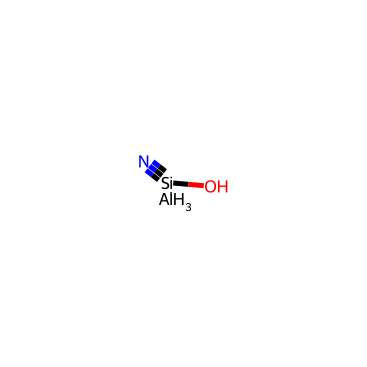 N#[Si]O.[AlH3]